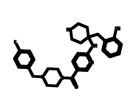 N#Cc1ccccc1CC1(Nc2ccc(C(=O)N3CCN(Cc4ccc(F)cc4)CC3)cn2)CCNCC1